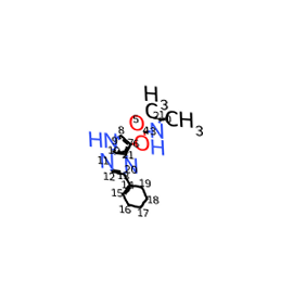 CC(C)NC(=O)Oc1c[nH]c2ncc(C3=CCCCC3)nc12